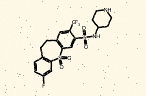 O=S(=O)(NC1CCNCC1)c1cc2c(cc1C(F)(F)F)CCc1ccc(F)cc1S2(=O)=O